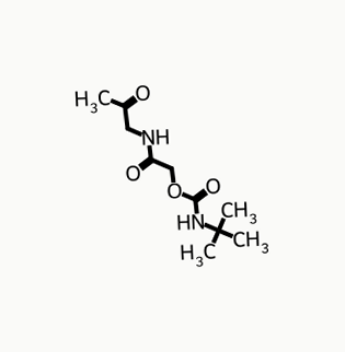 CC(=O)CNC(=O)COC(=O)NC(C)(C)C